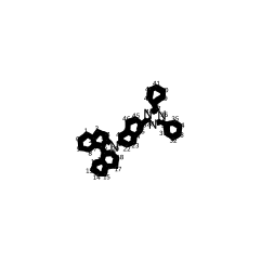 C1=Cc2ccc3c(c2CC1)c1c2ccccc2ccc1n3-c1ccc2cc(-c3nc(-c4ccccc4)nc(-c4ccccc4)n3)ccc2c1